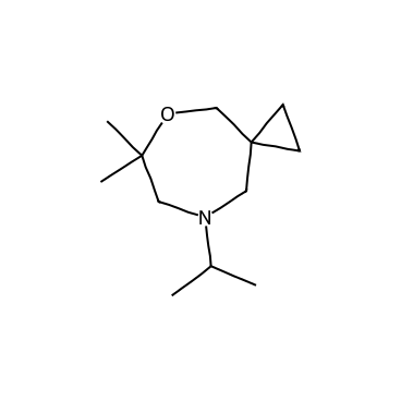 CC(C)N1CC2(CC2)COC(C)(C)C1